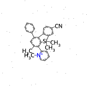 Cc1cc(-c2ccccc2)c2c(c1-c1cccc[n+]1C)[Si](C)(C)c1cc(C#N)ccc1-2